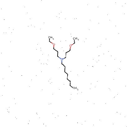 CCCCCCCCN(CCCOCC)CCCOCC